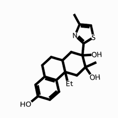 CCC12CC(C)(O)C(O)(c3nc(C)cs3)CC1CCc1cc(O)ccc12